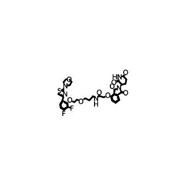 O=C(COc1cccc2c1C(=O)N(C1CCC(=O)NC1=O)C2=O)NCCCOCCOc1c(-c2csc(N3CCOCC3)n2)ccc(F)c1F